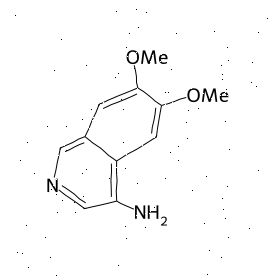 COc1cc2cncc(N)c2cc1OC